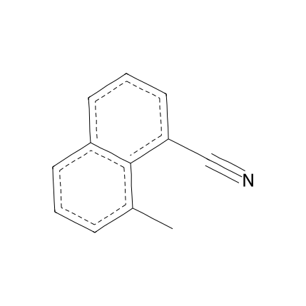 Cc1cccc2cccc(C#N)c12